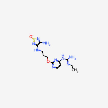 CCN=C(N)Nc1ccnc(OCCCNc2n[s+]([O-])nc2N)n1